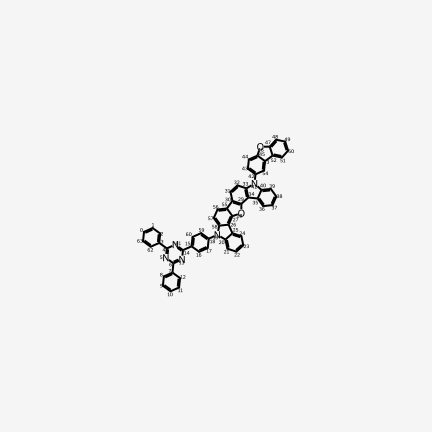 c1ccc(-c2nc(-c3ccccc3)nc(-c3ccc(-n4c5ccccc5c5c6oc7c(ccc8c7c7ccccc7n8-c7ccc8oc9ccccc9c8c7)c6ccc54)cc3)n2)cc1